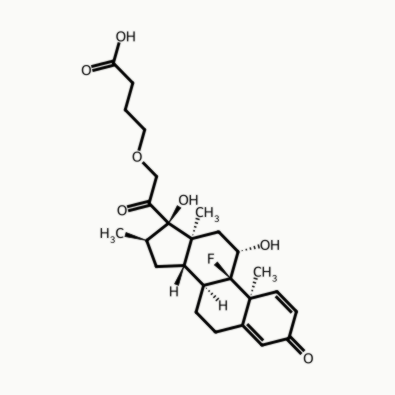 C[C@@H]1C[C@H]2[C@@H]3CCC4=CC(=O)C=C[C@]4(C)[C@@]3(F)[C@@H](O)C[C@]2(C)[C@@]1(O)C(=O)COCCCC(=O)O